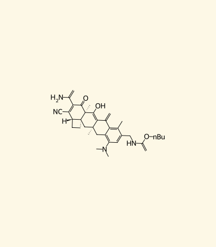 C=C(NCc1cc(N(C)C)c2c(c1C)C(=C)C1=C(O)[C@]3(C)C(=O)C(C(=C)N)=C(C#N)[C@H]4CC[C@]43C[C@]1(C)C2)OCCCC